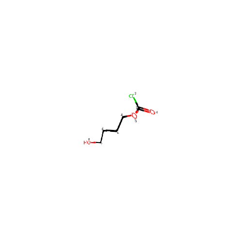 O=C(Cl)OCCCCO